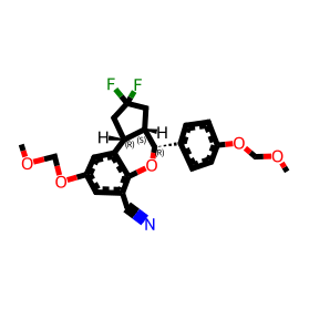 COCOc1ccc([C@@H]2Oc3c(C#N)cc(OCOC)cc3[C@@H]3CC(F)(F)C[C@@H]32)cc1